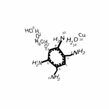 Cl.Nc1cc(N)c(N)cc1N.O.O.O.O.[Cu]